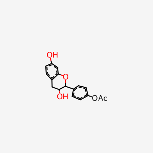 CC(=O)Oc1ccc(C2Oc3cc(O)ccc3CC2O)cc1